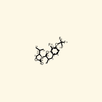 CC(Cc1ccc(OC(F)(F)F)c(F)c1)C(=O)N1C(=O)OCC1C(C)C